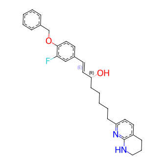 O[C@@H](/C=C/c1ccc(OCc2ccccc2)c(F)c1)CCCCCc1ccc2c(n1)NCCC2